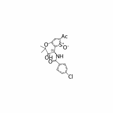 CC(=O)c1cc2c([s+]1[O-])[C@@H](NC(=O)c1ccc(Cl)cc1)[C@H](O)C(C)(C)O2